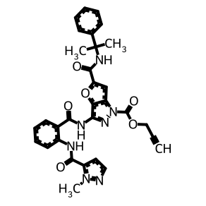 C#CCOC(=O)n1nc(NC(=O)c2ccccc2NC(=O)c2ccnn2C)c2oc(C(=O)NC(C)(C)c3ccccc3)cc21